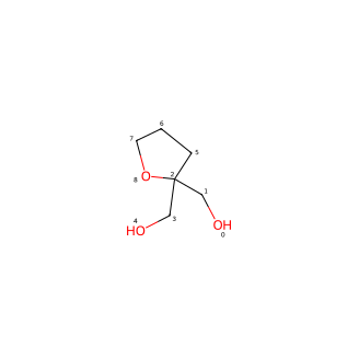 OCC1(CO)CCCO1